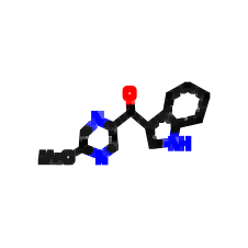 COc1cnc(C(=O)c2c[nH]c3ccccc23)cn1